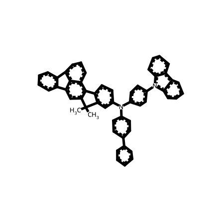 CC1(C)c2cc(N(c3ccc(-c4ccccc4)cc3)c3ccc(-n4c5ccccc5c5ccccc54)cc3)ccc2-c2c1cc1c3c(cccc23)-c2ccccc2-1